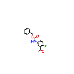 CC(=O)c1cc(NC(=O)OCc2ccccc2)ccc1F